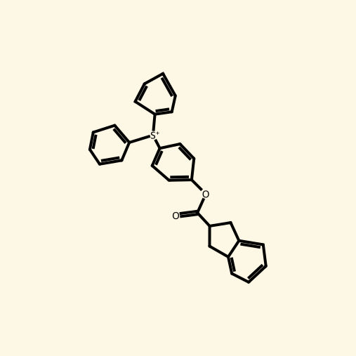 O=C(Oc1ccc([S+](c2ccccc2)c2ccccc2)cc1)C1Cc2ccccc2C1